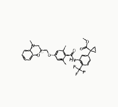 COC(=O)C1(c2ccc(C(F)(F)F)c(NC(=O)c3c(C)cc(OC[C@@H]4CN(C)c5ccccc5O4)cc3C)c2)CC1